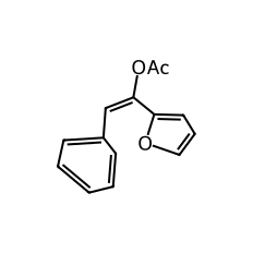 CC(=O)OC(=Cc1ccccc1)c1ccco1